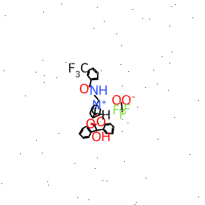 O=C(NCC[N+]12CCC(CC1)[C@@H](OC(=O)C(O)(c1ccccc1)c1ccccc1)C2)c1cccc(C(F)(F)F)c1.O=C([O-])C(F)(F)F